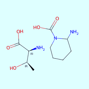 C[C@@H](O)[C@H](N)C(=O)O.NC1CCCCN1C(=O)O